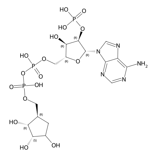 Nc1ncnc2c1ncn2[C@@H]1O[C@H](COP(=O)(O)OP(=O)(O)OC[C@H]2CC(O)[C@H](O)[C@@H]2O)[C@@H](O)[C@H]1OP(=O)(O)O